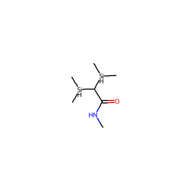 CNC(=O)C([SiH](C)C)[SiH](C)C